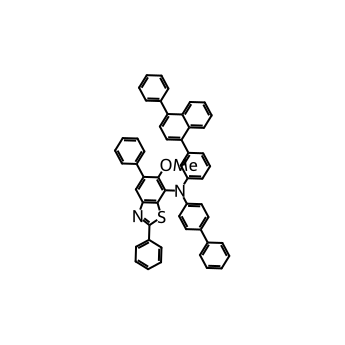 COc1c(-c2ccccc2)cc2nc(-c3ccccc3)sc2c1N(c1ccc(-c2ccccc2)cc1)c1cccc(-c2ccc(-c3ccccc3)c3ccccc23)c1